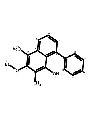 CCOc1c(C)c(O)c2c(-c3ccccc3)cccc2c1OC(C)=O